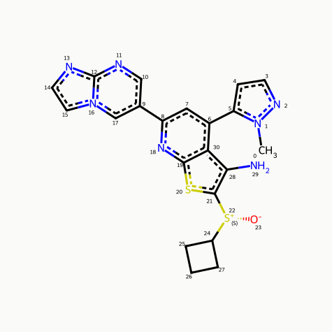 Cn1nccc1-c1cc(-c2cnc3nccn3c2)nc2sc([S@+]([O-])C3CCC3)c(N)c12